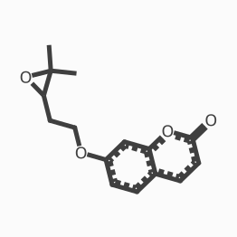 CC1(C)OC1CCOc1ccc2ccc(=O)oc2c1